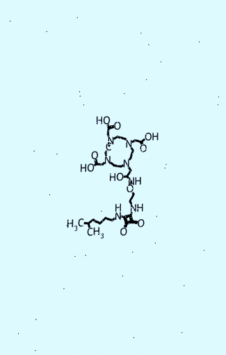 CC(C)CCCCNc1c(NCCONC(O)CN2CCN(CC(=O)O)CCN(CC(=O)O)CCN(CC(=O)O)CC2)c(=O)c1=O